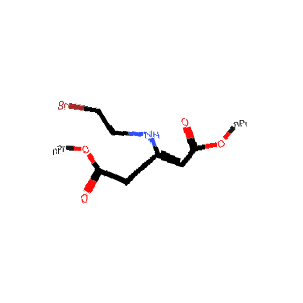 CCCOC(=O)C=C(CC(=O)OCCC)NCCBr